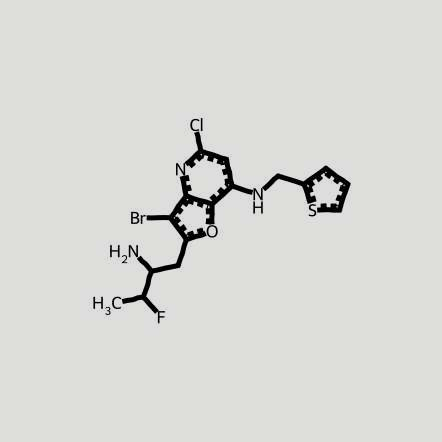 CC(F)C(N)Cc1oc2c(NCc3cccs3)cc(Cl)nc2c1Br